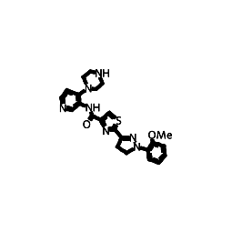 COc1ccccc1N1CCC(c2nc(C(=O)Nc3cnccc3N3CCNCC3)cs2)=N1